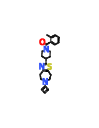 Cc1ccccc1C(=O)N1CCC(c2nc3c(s2)CCN(C2=CC=C2)CC3)CC1